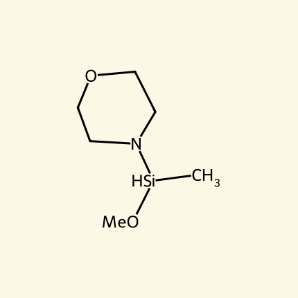 CO[SiH](C)N1CCOCC1